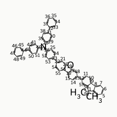 CC1(C)c2ccccc2-c2ccc(-c3ccc4c(c3)oc3cc(-c5ccc(N(c6ccc(-c7ccccc7)cc6)c6ccc(-c7ccccc7)cc6)cc5)ccc34)cc21